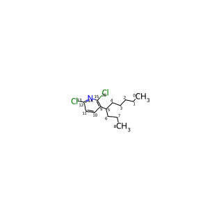 CCCCCC(CCC)c1ccc(Cl)nc1Cl